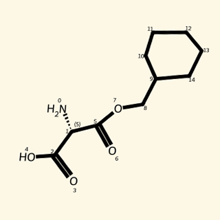 N[C@@H](C(=O)O)C(=O)OCC1CCCCC1